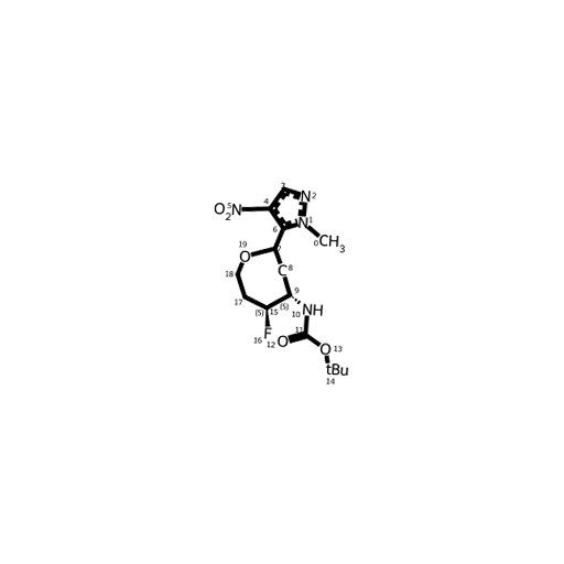 Cn1ncc([N+](=O)[O-])c1C1C[C@H](NC(=O)OC(C)(C)C)[C@@H](F)CCO1